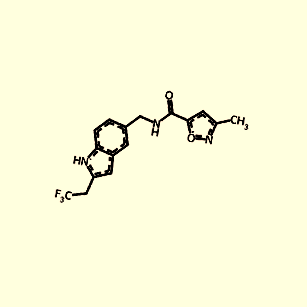 Cc1cc(C(=O)NCc2ccc3[nH]c(CC(F)(F)F)cc3c2)on1